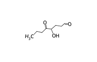 CCCC(=O)C(O)CCC=O